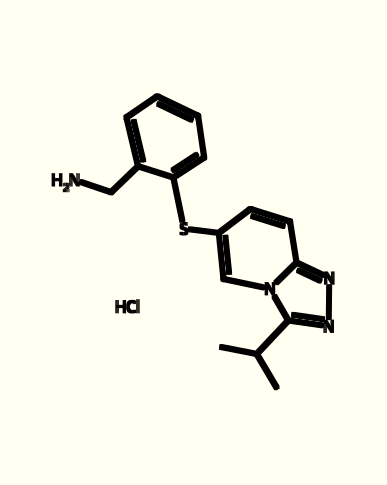 CC(C)c1nnc2ccc(Sc3ccccc3CN)cn12.Cl